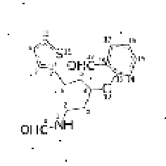 O=CNCCC(CCc1cccs1)Oc1ccccc1C=O